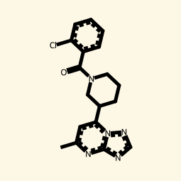 Cc1cc(C2CCCN(C(=O)c3ccccc3Cl)C2)n2ncnc2n1